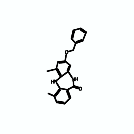 Cc1cc(OCc2ccccc2)cc2c1Nc1c(C)cccc1C(=O)N2